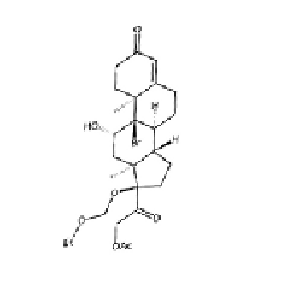 CCOCO[C@]1(C(=O)COC(C)=O)CC[C@H]2[C@@H]3CCC4=CC(=O)CC[C@]4(C)[C@@]3(Br)[C@@H](O)C[C@@]21C